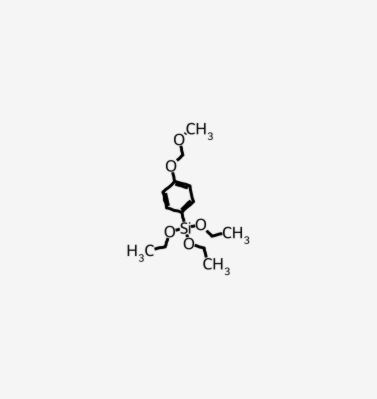 CCO[Si](OCC)(OCC)c1ccc(OCOC)cc1